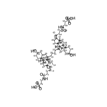 C[C@H](CCC(=O)NCCS(=O)(=O)O)[C@H]1CC[C@@H]2[C@H]3[C@H](CCCC[C@@H]4CC5C[C@@H](O)CC[C@@]5(C)[C@@H]5CC[C@]6(C)[C@H](CC[C@H]6[C@H](C)CCC(=O)NCCS(=O)(=O)O)[C@@H]45)CC4C[C@@H](O)CC[C@@]4(C)[C@@H]3CC[C@]21C